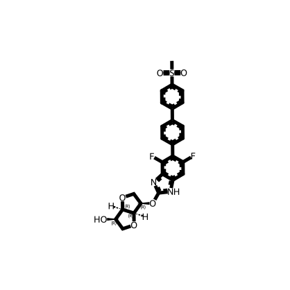 CS(=O)(=O)c1ccc(-c2ccc(-c3c(F)cc4[nH]c(O[C@@H]5CO[C@H]6[C@@H]5OC[C@H]6O)nc4c3F)cc2)cc1